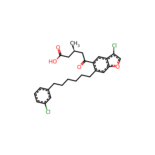 C[C@H](CC(=O)O)CC(=O)c1cc2c(Cl)coc2cc1CCCCCCc1cccc(Cl)c1